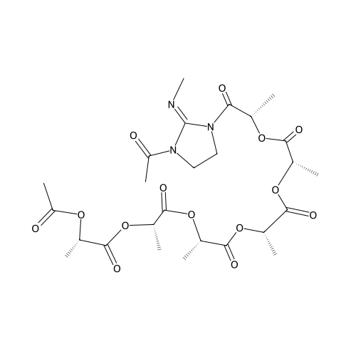 C/N=C1/N(C(C)=O)CCN1C(=O)[C@H](C)OC(=O)[C@H](C)OC(=O)[C@H](C)OC(=O)[C@H](C)OC(=O)[C@H](C)OC(=O)[C@H](C)OC(C)=O